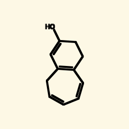 OC1=CC2=C(C=CC=CC2)CC1